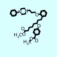 COC(=O)CCCCC(CCc1ccccc1OCCCN1CCN(c2ccccc2)CC1)Oc1ccc(C(=O)OC)cc1